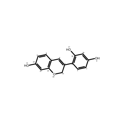 Oc1ccc(C2=Cc3ccc(O)cc3OC2)c(O)c1